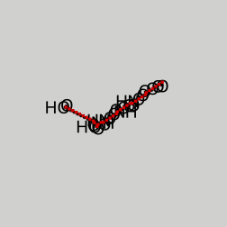 CC(=O)COCCOCCCC(=O)COCCOCCNC(=O)COCCOCCNC(=O)COCCOCCNC(=O)CC[C@H](NC(=O)CCCCCCCCCCCCCCCCC(=O)O)C(=O)O